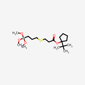 CO[Si](CCCSCCC(=O)OC1(C(C)(C)C)CCCC1)(OC)OC